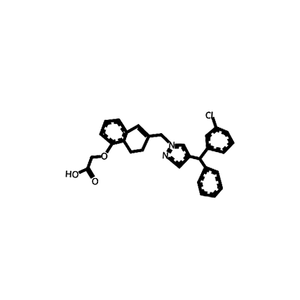 O=C(O)COc1cccc2c1CCC(Cn1cc(C(c3ccccc3)c3cccc(Cl)c3)cn1)=C2